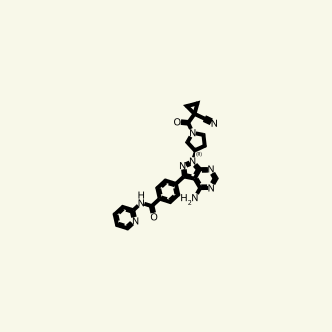 N#CC1(C(=O)N2CC[C@@H](n3nc(-c4ccc(C(=O)Nc5ccccn5)cc4)c4c(N)ncnc43)C2)CC1